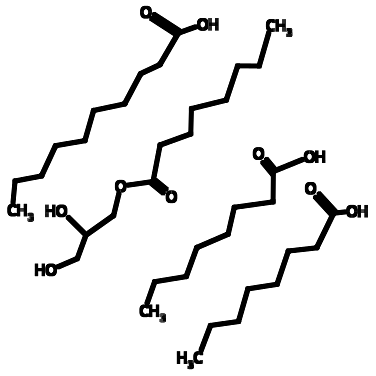 CCCCCCCC(=O)O.CCCCCCCC(=O)O.CCCCCCCC(=O)OCC(O)CO.CCCCCCCCCC(=O)O